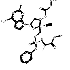 C#C[C@]1(CO[P@@](=O)(N[C@@H](C)C(=O)OC(C)C)Oc2ccccc2)O[C@@H](n2cnc3c(N)nc(F)nc32)C[C@@H]1OC(=O)OCCCCCCCCC